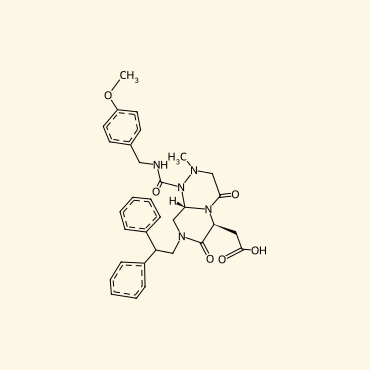 COc1ccc(CNC(=O)N2[C@H]3CN(CC(c4ccccc4)c4ccccc4)C(=O)[C@H](CC(=O)O)N3C(=O)CN2C)cc1